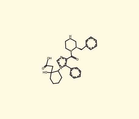 O=C(O)CC1(O)CCCC[C@@H]1n1cnc(C(=O)N2CCNC[C@H]2Cc2ccccc2)c1-c1ccccc1